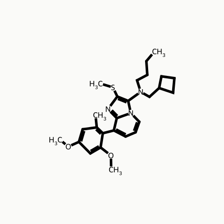 CCCCN(CC1CCC1)c1c(SC)nc2c(-c3c(C)cc(OC)cc3OC)cccn12